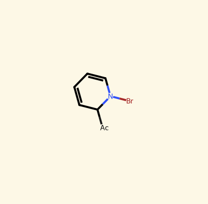 CC(=O)C1C=CC=CN1Br